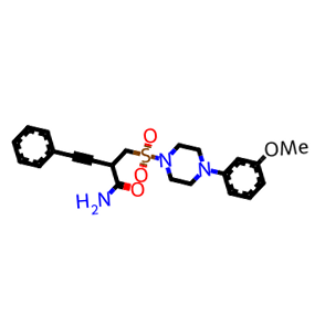 COc1cccc(N2CCN(S(=O)(=O)CC(C#Cc3ccccc3)C(N)=O)CC2)c1